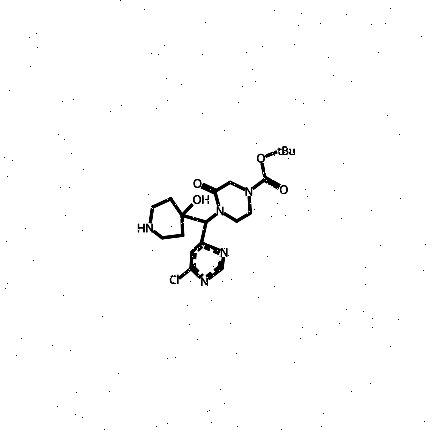 CC(C)(C)OC(=O)N1CCN(C(c2cc(Cl)ncn2)C2(O)CCNCC2)C(=O)C1